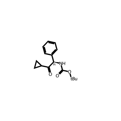 CC(C)(C)OC(=O)N[C@@H](C(=O)C1CC1)c1ccccc1